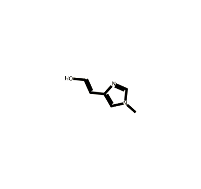 Cn1cnc(C=CO)c1